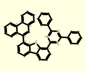 c1ccc(-c2nc(-c3ccccc3)nc(-c3cccc4c3oc3c(-c5cc6ccccc6c6ccccc56)cccc34)n2)cc1